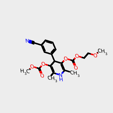 COCCOC(=O)OC1=C(C)NC(C)=C(OC(=O)OC)C1c1cccc(C#N)c1